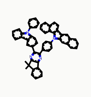 CC1(C)c2ccccc2-c2nc(-c3ccc(-n4c5cc6ccccc6cc5c5ccc6ccccc6c54)cc3)c(-c3ccc4c(c3)c3ccccc3n4-c3ccccc3)nc21